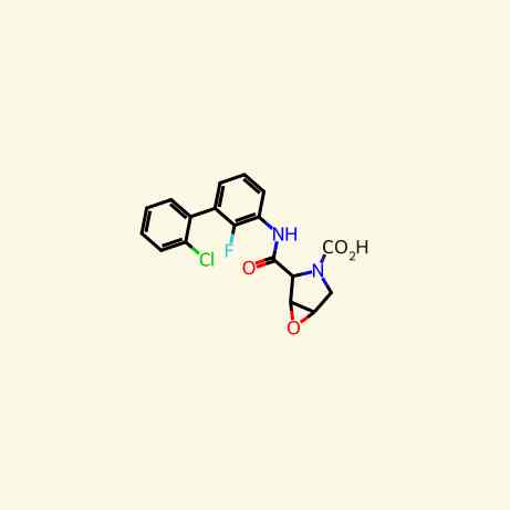 O=C(Nc1cccc(-c2ccccc2Cl)c1F)C1C2OC2CN1C(=O)O